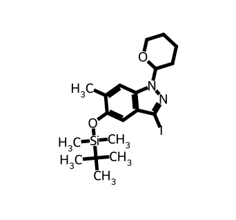 Cc1cc2c(cc1O[Si](C)(C)C(C)(C)C)c(I)nn2C1CCCCO1